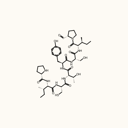 CC[C@H](C)[C@H](NC(=O)[C@@H]1CCCN1)C(=O)N[C@@H](CS)C(=O)N[C@H](C(=O)N[C@@H](Cc1ccc(O)cc1)C(=O)N[C@@H](CO)C(=O)N[C@H](C(=O)N1CCC[C@H]1[C]=O)[C@@H](C)CC)[C@@H](C)O